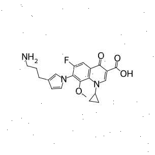 COc1c(-n2ccc(CCCN)c2)c(F)cc2c(=O)c(C(=O)O)cn(C3CC3)c12